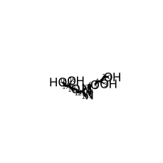 OC[C@@H](O)COCc1cncc(COC[C@H](O)CO)n1